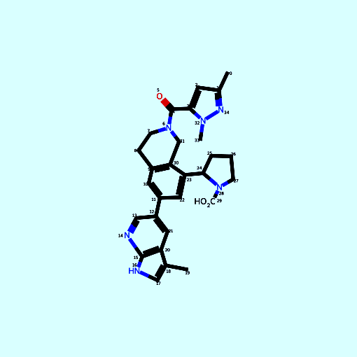 Cc1cc(C(=O)N2CCc3cc(-c4cnc5[nH]cc(C)c5c4)cc(C4CCCN4C(=O)O)c3C2)n(C)n1